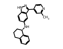 Cc1cc(-c2n[nH]c3ccc(N[C@@H]4CCCc5ccccc54)cc23)ccn1